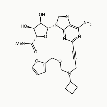 CNC(=O)[C@H]1O[C@@H](n2cnc3c(N)nc(C#CCN(COCc4ccco4)C4CCC4)nc32)[C@H](O)[C@@H]1O